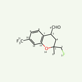 CC1(CF)CC(C=O)c2ccc(C(F)(F)F)cc2O1